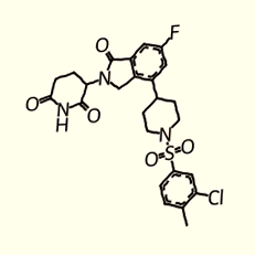 Cc1ccc(S(=O)(=O)N2CCC(c3cc(F)cc4c3CN(C3CCC(=O)NC3=O)C4=O)CC2)cc1Cl